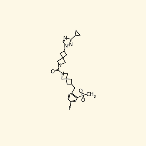 CS(=O)(=O)c1cc(F)ccc1CC1CC2(C1)CN(C(=O)N1CC3(CC(n4cnc(C5CC5)n4)C3)C1)C2